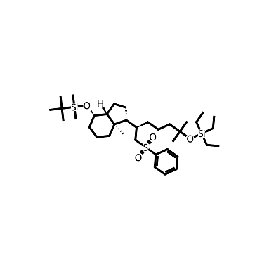 CC[Si](CC)(CC)OC(C)(C)CCC[C@@H](CS(=O)(=O)c1ccccc1)[C@H]1CC[C@H]2[C@@H](O[Si](C)(C)C(C)(C)C)CCC[C@]12C